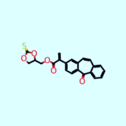 C=C(C(=O)OCC1COC(=S)O1)c1ccc2c(=O)c3ccccc3ccc2c1